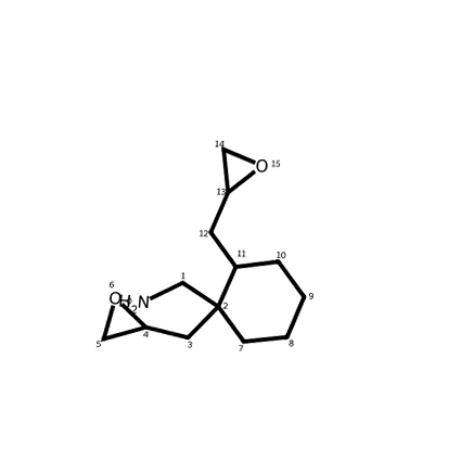 NCC1(CC2CO2)CCCCC1CC1CO1